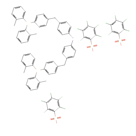 Cc1ccccc1[S+](c1ccc(Cc2ccc([I+]c3ccc(Cc4ccc([S+](c5ccccc5C)c5ccccc5C)cc4)cc3)cc2)cc1)c1ccccc1C.O=S(=O)([O-])c1c(F)c(F)c(F)c(F)c1F.O=S(=O)([O-])c1c(F)c(F)c(F)c(F)c1F.O=S(=O)([O-])c1c(F)c(F)c(F)c(F)c1F